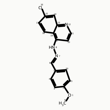 COc1ccc(C=NNc2ccnc3cc(Cl)ccc23)cc1